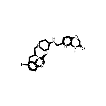 O=C1COc2ccc(CNC3CCN(CC4Cc5c(F)ccc6ncc(=O)n4c56)CC3)nc2N1